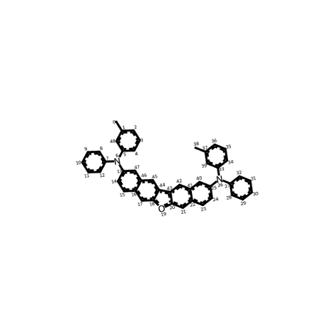 Cc1cccc(N(c2ccccc2)c2ccc3cc4oc5cc6ccc(N(c7ccccc7)c7cccc(C)c7)cc6cc5c4cc3c2)c1